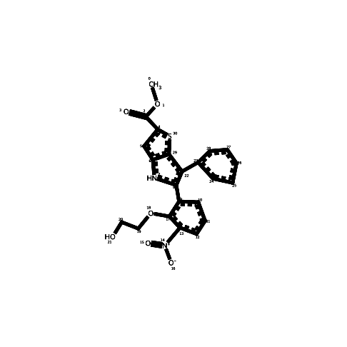 COC(=O)c1cc2[nH]c(-c3cccc([N+](=O)[O-])c3OCCO)c(-c3ccccc3)c2s1